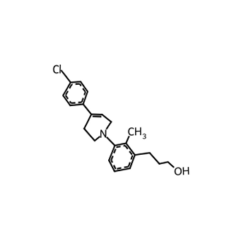 Cc1c(CCCO)cccc1N1CC=C(c2ccc(Cl)cc2)CC1